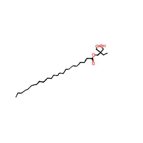 CCCCCCCCCCCCCCCCCCCCCCC(=O)OCC(CC)(CO)CO